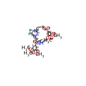 COc1cc(C(=O)NC2CCCOc3cc(cc(OC)c3OC)C(=O)OCCCN3CCN(CC2)CC(F)(F)C3)cc(OC)c1OC